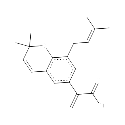 C=C(C(=O)O)c1cc2c(c(CC=C(C)C)c1)OC(C)(C)C=C2